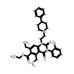 CCOC(=O)c1c(CC)cc2c(c1CC)c(=O)n(-c1ccccc1Cl)c(=O)n2CCN1CCC(c2ccccc2)CC1